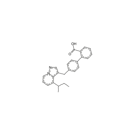 CCC(C)c1cccn2ncc(Cc3ccc(-c4ccccc4C(=O)O)cc3)c12